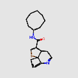 O=C(NC1CCCCCCC1)C1CSC23CC=CC=C2N=CCC13